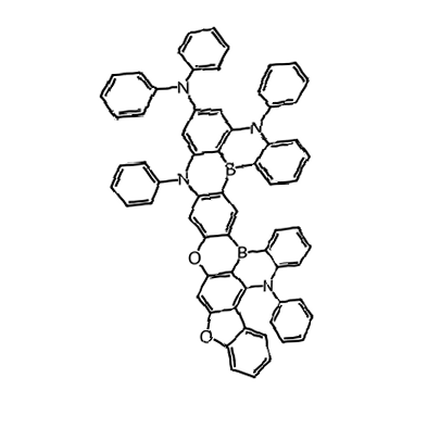 c1ccc(N(c2ccccc2)c2cc3c4c(c2)N(c2ccccc2)c2cc5c(cc2B4c2ccccc2N3c2ccccc2)B2c3ccccc3N(c3ccccc3)c3c2c(cc2oc4ccccc4c32)O5)cc1